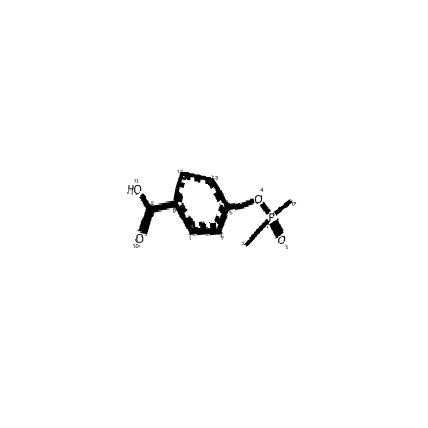 CP(C)(=O)Oc1ccc(C(=O)O)cc1